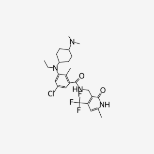 CCN(c1cc(Cl)cc(C(=O)NCc2c(C(F)(F)F)cc(C)[nH]c2=O)c1C)C1CCC(N(C)C)CC1